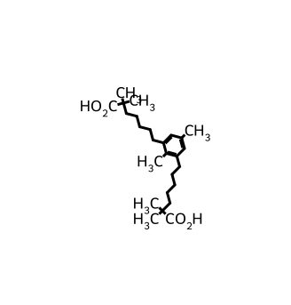 Cc1cc(CCCCCC(C)(C)C(=O)O)c(C)c(CCCCCC(C)(C)C(=O)O)c1